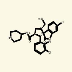 CC(C)(C)C[C@@H]1CN(C(=O)NC2CCNCC2)C(c2cccc(Cl)c2F)[C@]12C(=O)Nc1cc(Cl)ccc12